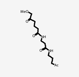 COCC(=O)CCCC(=O)NCCC(=O)NCCCC(C)=O